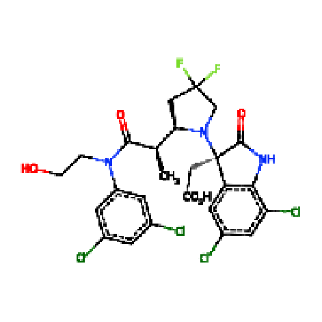 C[C@@H](C(=O)N(CCO)c1cc(Cl)cc(Cl)c1)[C@H]1CC(F)(F)CN1[C@@]1(CC(=O)O)C(=O)Nc2c(Cl)cc(Cl)cc21